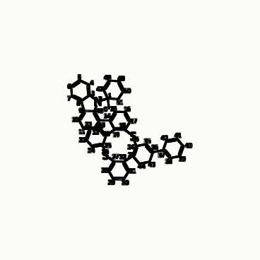 CC1(n2c3ccccc3c3cccc(-c4cccc5c4-c4ccccc4Sc4ccccc4C4=C(C=C(c6ccccc6)CC4)S5)c32)C=CC=CC1